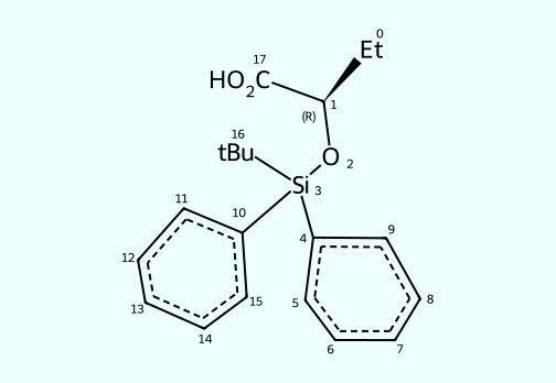 CC[C@@H](O[Si](c1ccccc1)(c1ccccc1)C(C)(C)C)C(=O)O